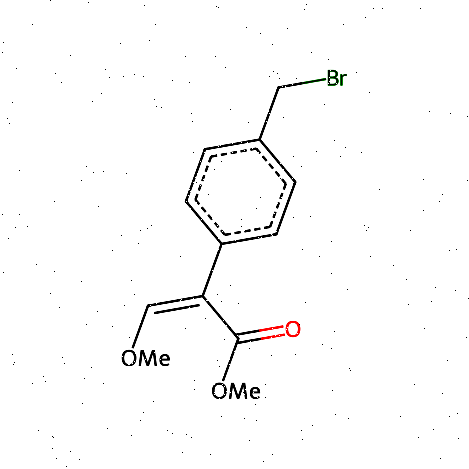 COC=C(C(=O)OC)c1ccc(CBr)cc1